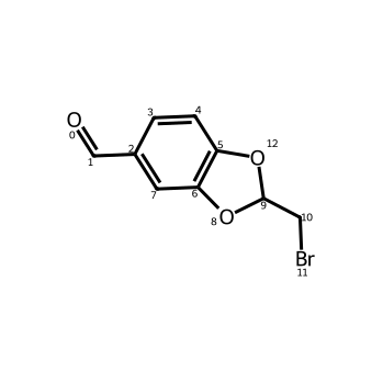 O=Cc1ccc2c(c1)OC(CBr)O2